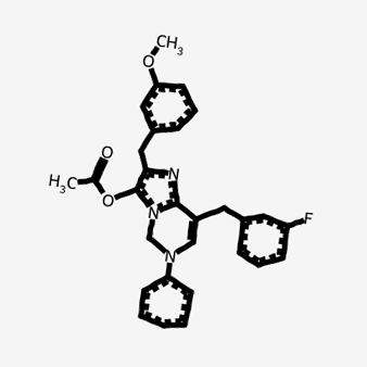 COc1cccc(Cc2nc3n(c2OC(C)=O)CN(c2ccccc2)C=C3Cc2cccc(F)c2)c1